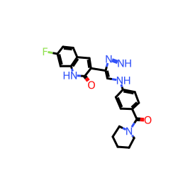 N=N/C(=C\Nc1ccc(C(=O)N2CCCCC2)cc1)c1cc2ccc(F)cc2[nH]c1=O